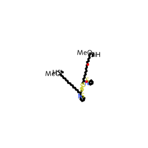 COC(CCCCCCCCCCCCCCCC(CSSSSCC(CCCCCCCCCCCCCCCC(OC)[SiH](C)C)c1nc2ccccc2s1)c1nc2ccccc2s1)[SiH](C)C